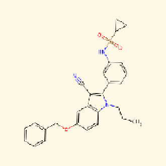 CCCn1c(-c2cccc(NS(=O)(=O)C3CC3)c2)c(C#N)c2cc(OCc3ccccc3)ccc21